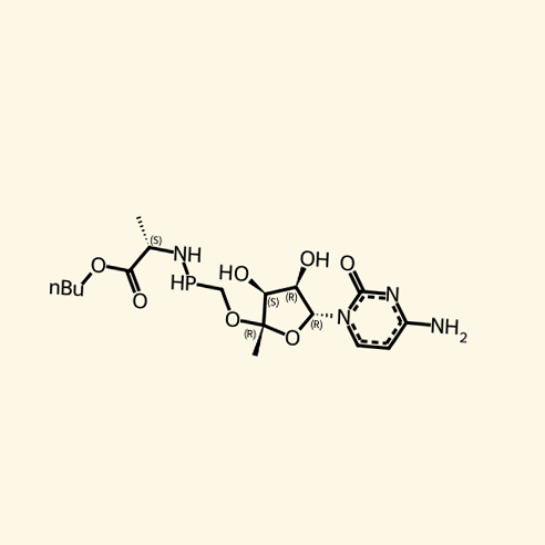 CCCCOC(=O)[C@H](C)NPCO[C@@]1(C)O[C@@H](n2ccc(N)nc2=O)[C@H](O)[C@@H]1O